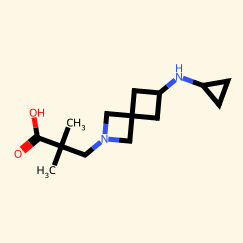 CC(C)(CN1CC2(CC(NC3CC3)C2)C1)C(=O)O